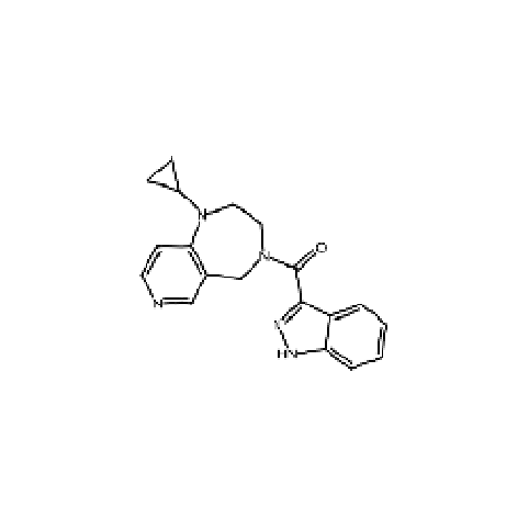 O=C(c1n[nH]c2ccccc12)N1CCN(C2CC2)c2ccncc2C1